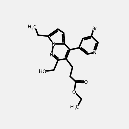 CCOC(=O)CCc1c(CO)nn2c(CC)ccc2c1-c1cncc(Br)c1